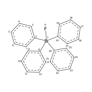 [F][Bi]([c]1ccccc1)([c]1ccccc1)([c]1ccccc1)[c]1ccccc1